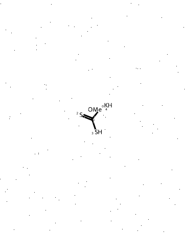 COC(=S)S.[KH]